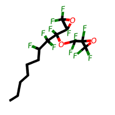 CCCCCCC(F)C(F)(F)C(F)(OC(F)(F)C1(F)OC1(F)F)C1(F)OC1(F)F